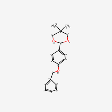 CC1(C)COC(c2ccc(OCc3ccccc3)cc2)OC1